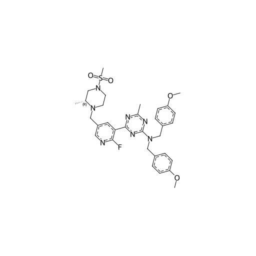 COc1ccc(CN(Cc2ccc(OC)cc2)c2nc(C)nc(-c3cc(CN4CCN(S(C)(=O)=O)C[C@H]4C)cnc3F)n2)cc1